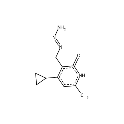 Cc1cc(C2CC2)c(CN=NN)c(=O)[nH]1